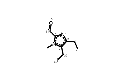 CCc1nc(N=O)n(C)c1CI